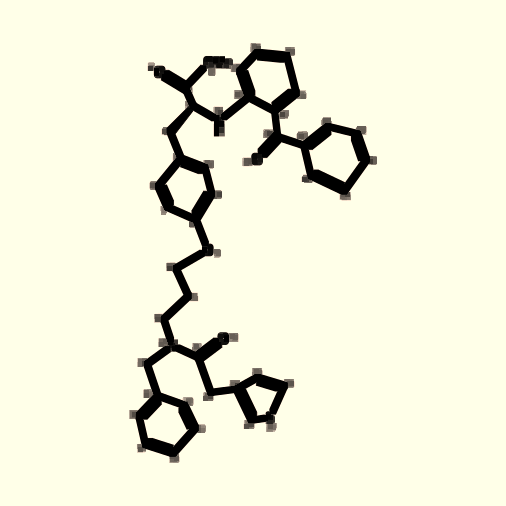 COC(=O)[C@H](Cc1ccc(OCCCN(Cc2ccccc2)C(=O)Cc2ccsc2)cc1)Nc1ccccc1C(=O)c1ccccc1